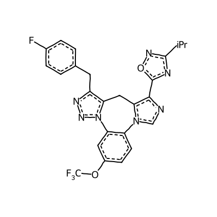 CC(C)c1noc(-c2ncn3c2Cc2c(Cc4ccc(F)cc4)nnn2-c2cc(OC(F)(F)F)ccc2-3)n1